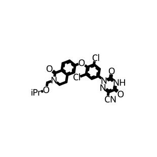 CC(C)OCN1CCc2cc(Oc3c(Cl)cc(-n4nc(C#N)c(=O)[nH]c4=O)cc3Cl)ccc2C1=O